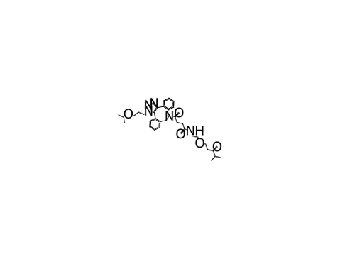 CC(C)OCCCn1nnc2c1-c1ccccc1CN(C(=O)CCC(=O)NCCOCCC(=O)C(C)C)c1ccccc1-2